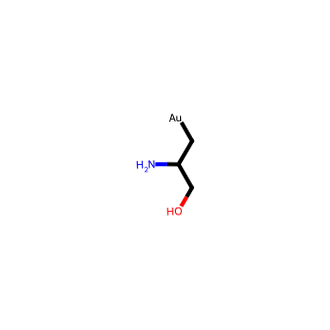 NC(CO)[CH2][Au]